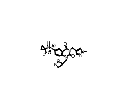 Cn1cc(Cn2c(=O)c3cc(S(=O)(=O)NC4(CF)CC4)ccc3n(Cc3ccno3)c2=O)cn1